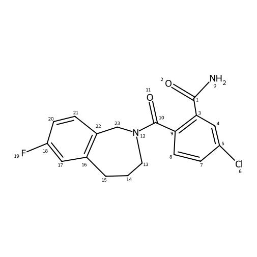 NC(=O)c1cc(Cl)ccc1C(=O)N1CCCc2cc(F)ccc2C1